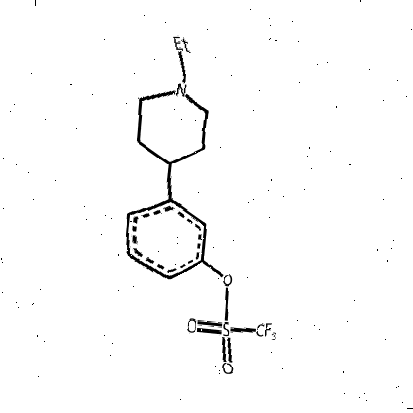 CCN1CCC(c2cccc(OS(=O)(=O)C(F)(F)F)c2)CC1